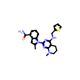 Cc1cc2c(C(N)=O)cccc2n1-c1nc(NCc2cccs2)c2c(n1)N(C)CCC2